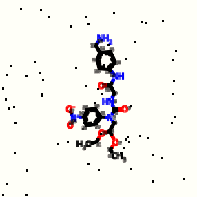 CCOC(CN(C(=O)NCC(=O)Nc1ccc(CN)cc1)c1ccc([N+](=O)[O-])cc1)OCC